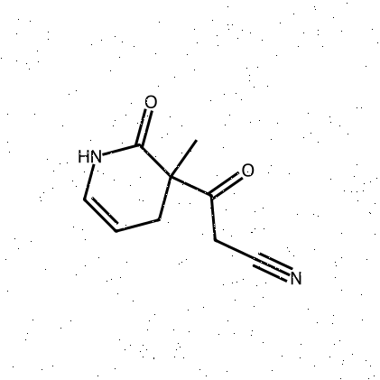 CC1(C(=O)CC#N)CC=CNC1=O